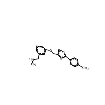 COc1ccc(-c2nc(COc3cccc(CNO)c3)cs2)cc1